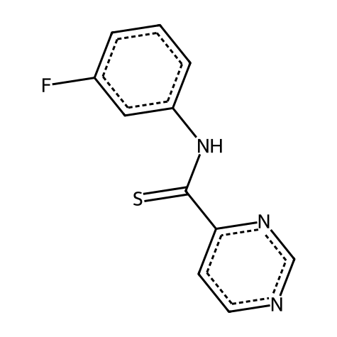 Fc1cccc(NC(=S)c2ccncn2)c1